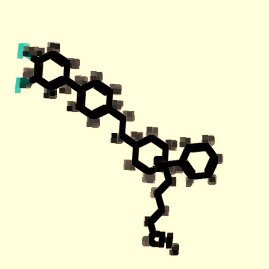 CCCCC[Si]1(c2ccccc2)CCC(CCc2ccc(-c3ccc(F)c(F)c3)cc2)CC1